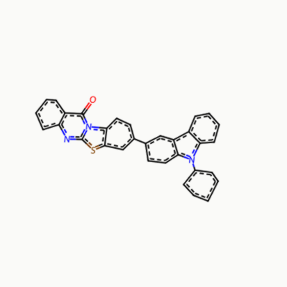 O=c1c2ccccc2nc2sc3cc(-c4ccc5c(c4)c4ccccc4n5-c4ccccc4)ccc3n12